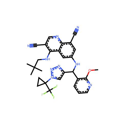 COc1ncccc1C(Nc1cc(C#N)c2ncc(C#N)c(NCC(C)(C)C)c2c1)c1cn(C2(C(F)(F)F)CC2)nn1